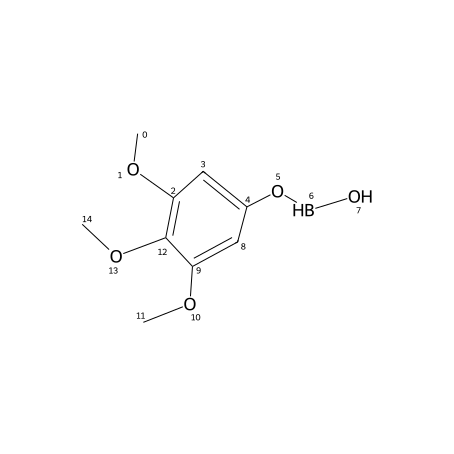 COc1cc(OBO)cc(OC)c1OC